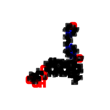 CC(C)(CC(=O)O[C@H]1CC[C@]2(C)[C@H]3CC[C@@H]4[C@@H]5C(CC[C@H]5C5(C)CC5)[C@@H](C(=O)N5CCN(CCCN6CCOCC6)CC5)C[C@@]4(C)[C@]3(C)CC[C@H]2C1(C)C)C(=O)O